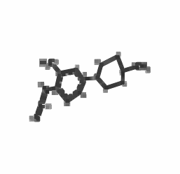 Cc1cc(C2CCC(C)CC2)ccc1N=C=S